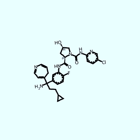 NC(CCC1CC1)(C1=CC=NC=CC1)c1ccc(F)c(NC(=O)[C@H]2C[C@@H](O)CN2C(=O)Nc2ccc(Cl)cn2)c1